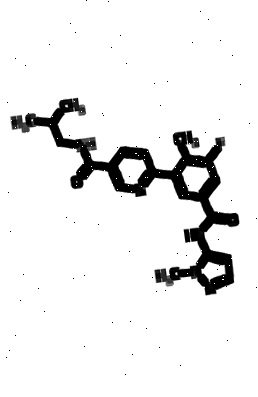 Cc1c(F)cc(C(=O)Nc2ccnn2C)cc1-c1ccc(C(=O)NCC(C)C)cn1